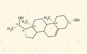 C[C@H](O)[C@H]1CCC2C3CC=C4C[C@@H](O)CC[C@]4(C)C3CC[C@@]21C